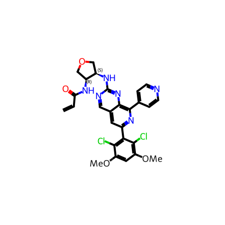 C=CC(=O)N[C@H]1COC[C@H]1Nc1ncc2cc(-c3c(Cl)c(OC)cc(OC)c3Cl)nc(-c3ccncc3)c2n1